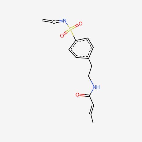 C=C=NS(=O)(=O)c1ccc(CCNC(=O)C=CC)cc1